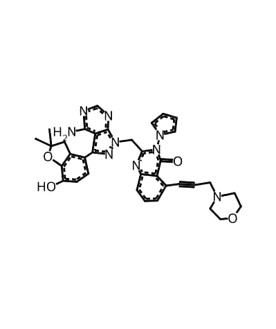 CC1(C)Cc2c(-c3nn(Cc4nc5cccc(C#CCN6CCOCC6)c5c(=O)n4-n4cccc4)c4ncnc(N)c34)ccc(O)c2O1